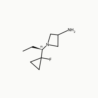 CC[C@@H](N1CC(N)C1)C1(F)CC1